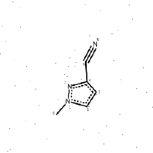 Cn1[c]cc(C#N)n1